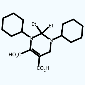 CCC1(CC)N(C2CCCCC2)CC(C(=O)O)=C(C(=O)O)N1C1CCCCC1